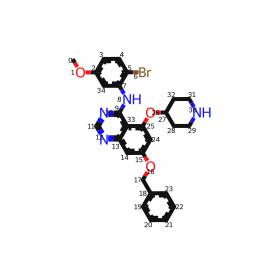 COc1ccc(Br)c(Nc2ncnc3cc(OCc4ccccc4)cc(OC4CCNCC4)c23)c1